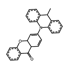 CC1c2ccccc2N(C2=CC3Oc4ccccc4C(=O)C3C=C2)c2ccccc21